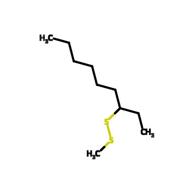 CCCCCCC(CC)SSC